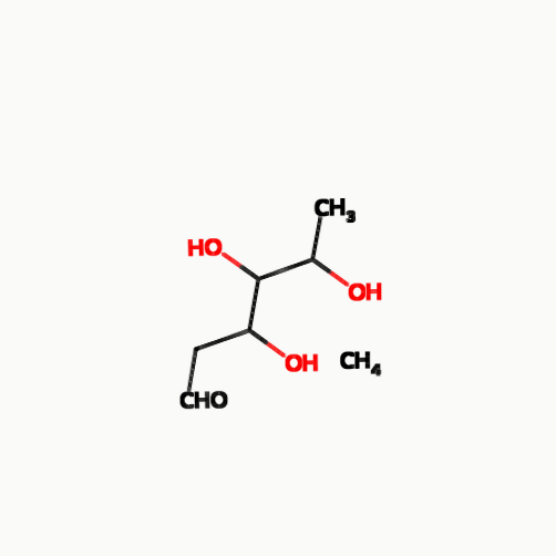 C.CC(O)C(O)C(O)CC=O